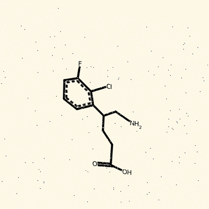 NCC(CCC(=O)O)c1cccc(F)c1Cl